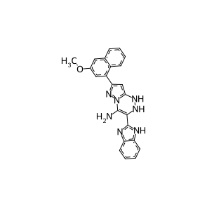 COc1cc(-c2cc3n(n2)C(N)=C(c2nc4ccccc4[nH]2)NN3)c2ccccc2c1